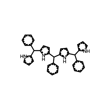 c1ccc(C(c2ccc[nH]2)c2ccc(C(c3ccccc3)c3ccc(C(c4ccccc4)c4ccc[nH]4)[nH]3)[nH]2)cc1